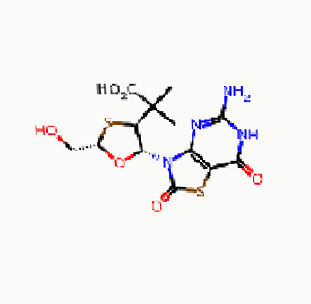 CC(C)(C(=O)O)[C@@H]1S[C@@H](CO)O[C@H]1n1c(=O)sc2c(=O)[nH]c(N)nc21